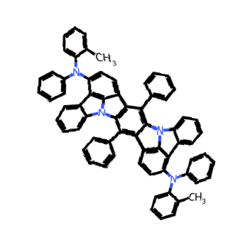 Cc1ccccc1N(c1ccccc1)c1ccc2c3c(-c4ccccc4)c4c(c(-c5ccccc5)c3n3c5ccccc5c1c23)c1ccc(N(c2ccccc2)c2ccccc2C)c2c3ccccc3n4c12